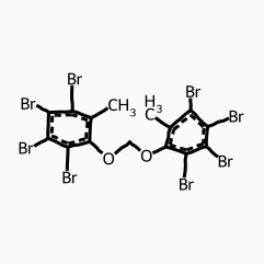 Cc1c(Br)c(Br)c(Br)c(Br)c1OCOc1c(C)c(Br)c(Br)c(Br)c1Br